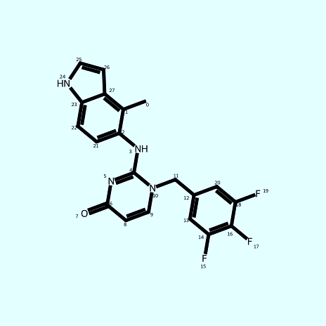 Cc1c(Nc2nc(=O)ccn2Cc2cc(F)c(F)c(F)c2)ccc2[nH]ccc12